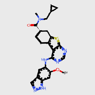 CC(C)Oc1cc2[nH]ncc2cc1Nc1ncnc2sc3c(c12)CC[C@H](C(=O)N(C)CC1CC1)C3